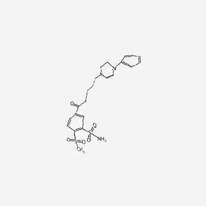 CS(=O)(=O)c1ccc(C(=O)CCCCN2CCN(c3ccccc3)CC2)cc1S(N)(=O)=O